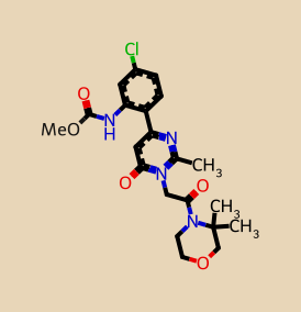 COC(=O)Nc1cc(Cl)ccc1-c1cc(=O)n(CC(=O)N2CCOCC2(C)C)c(C)n1